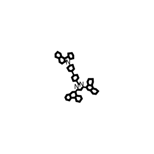 c1ccc2c(c1)cc(-c1cc(-c3cc4ccccc4c4ccccc34)nc(-c3ccc(-c4ccc(-n5c6ccccc6c6c7ccccc7ccc65)cc4)cc3)n1)c1ccccc12